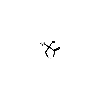 C=C(C)C(N)(CC(C)(C)C)C(C)(C)C